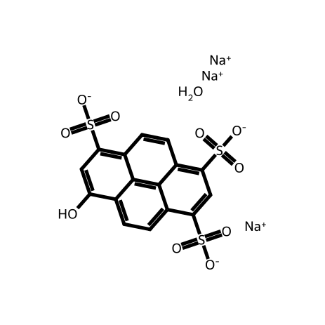 O.O=S(=O)([O-])c1cc(O)c2ccc3c(S(=O)(=O)[O-])cc(S(=O)(=O)[O-])c4ccc1c2c34.[Na+].[Na+].[Na+]